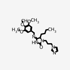 CCCCC1C(=NCc2cc(OC)c(OC)c(OC)c2)NC(=O)N1CCCn1ccnc1